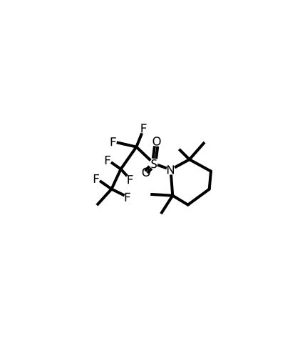 CC1(C)CCCC(C)(C)N1S(=O)(=O)C(F)(F)C(F)(F)C(C)(F)F